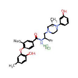 COc1cc(C(=O)NC(CN2CCN(c3cccc(O)c3)[C@@H](C)C2)C(C)C)ccc1Oc1cc(C)ccc1O.Cl.Cl